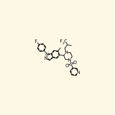 Cc1cc2c(cnn2-c2ccc(F)cc2)cc1C1CN(S(=O)(=O)c2cccnc2)CCN1CC(C)C(F)(F)F